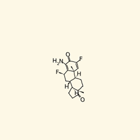 C[C@]12C=C(F)C(=O)C(N)=C1[C@H](F)C[C@@H]1[C@@H]2CC[C@]2(C)C(=O)CC[C@@H]12